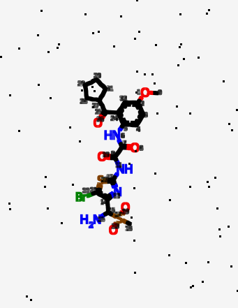 COc1ccc(NC(=O)C(=O)Nc2nc(C(N)S(C)(=O)=O)c(Br)s2)c(C(=O)C2CCCC2)c1